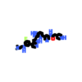 CN(C)CCNc1cc(F)cc(-c2ccnc3[nH]c(-c4n[nH]c5ccc(-c6cncc(NC(=O)CC7CCNCC7)c6)nc45)cc23)c1